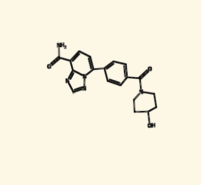 NC(=O)c1ccc(-c2ccc(C(=O)N3CCC(O)CC3)cc2)n2n[c]nc12